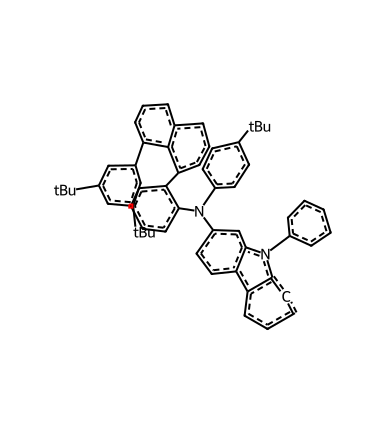 CC(C)(C)c1ccc(N(c2ccc3c4ccccc4n(-c4ccccc4)c3c2)c2ccccc2-c2cccc3cccc(-c4cc(C(C)(C)C)cc(C(C)(C)C)c4)c23)cc1